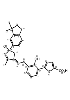 CC1=N[N+]([O-])(c2ccc3c(c2)C(C)(C)CC3)CC1=NNc1cccc(-c2ccc(C(=O)O)s2)c1O